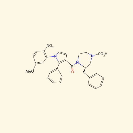 COc1ccc([N+](=O)[O-])c(-n2ccc(C(=O)N3CCN(C(=O)O)C[C@H]3Cc3ccccc3)c2-c2ccccc2)c1